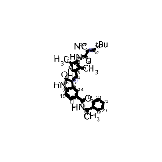 Cc1[nH]c(/C=C2\C(=O)Nc3ccc(C(=O)NC(C)c4ccccc4)cc32)c(C)c1NC(=O)/C(C#N)=C/C(C)(C)C